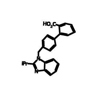 CC(C)c1nc2ccccc2n1Cc1ccc(-c2ccccc2C(=O)O)cc1